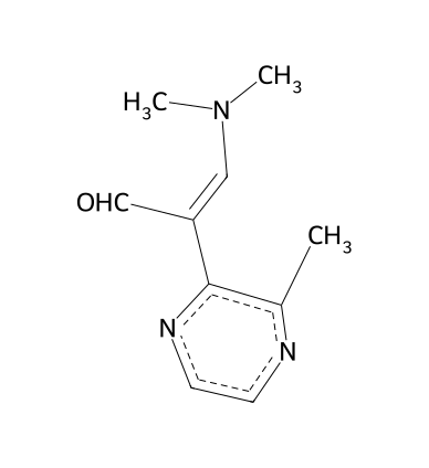 Cc1nccnc1C(C=O)=CN(C)C